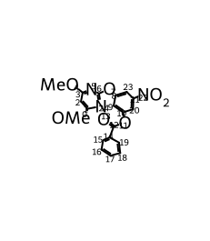 COc1cc(OC)nc(Oc2cc(OC(=O)c3ccccc3)cc([N+](=O)[O-])c2)n1